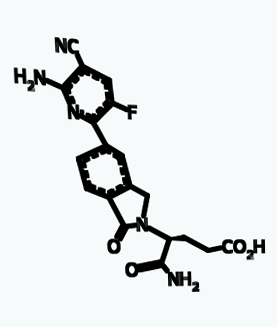 N#Cc1cc(F)c(-c2ccc3c(c2)CN([C@@H](CCC(=O)O)C(N)=O)C3=O)nc1N